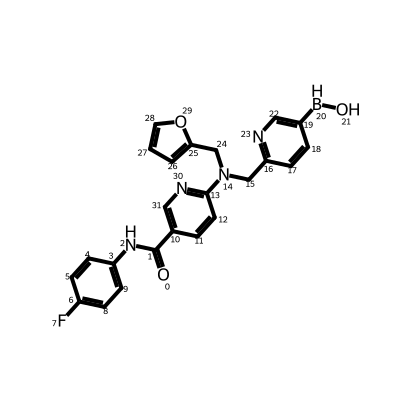 O=C(Nc1ccc(F)cc1)c1ccc(N(Cc2ccc(BO)cn2)Cc2ccco2)nc1